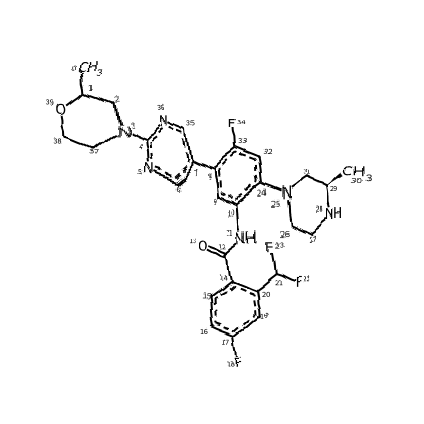 CC1CN(c2ncc(-c3cc(NC(=O)c4ccc(F)cc4C(F)F)c(N4CCN[C@H](C)C4)cc3F)cn2)CCO1